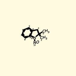 CC1(C)Cc2ccccc2N1N=O